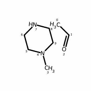 CC=O.CN1CCNCC1